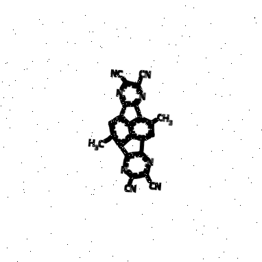 Cc1cc2c3c(c(C)cc4c3c1-c1nc(C#N)c(C#N)nc1-4)-c1nc(C#N)c(C#N)nc1-2